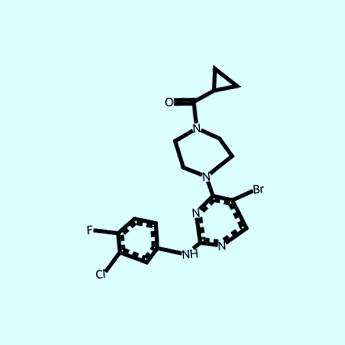 O=C(C1CC1)N1CCN(c2nc(Nc3ccc(F)c(Cl)c3)ncc2Br)CC1